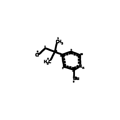 CC(C)(C)c1cc(C(C)(C)CCl)ccn1